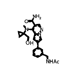 CC(=O)NCc1cccc(-c2cc3c(N(C)C4(CO)CC4)c(C(N)=O)cnn3c2)c1